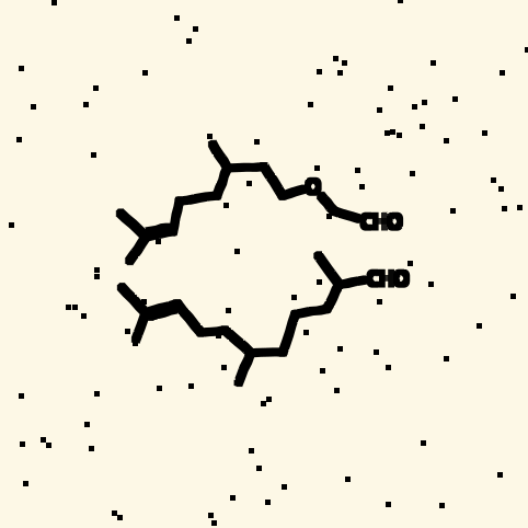 CC(C)=CCCC(C)CCCC(C)C=O.CC(C)=CCCC(C)CCOCC=O